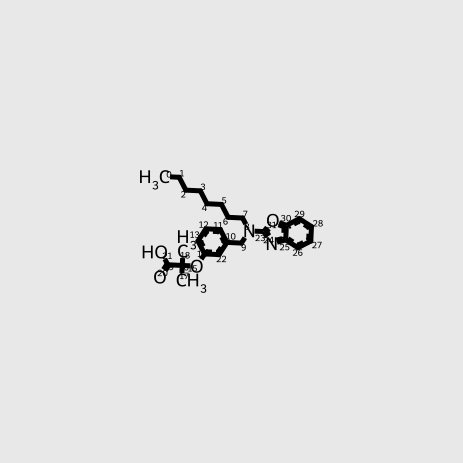 CCCCCCCCN(Cc1cccc(OC(C)(C)C(=O)O)c1)c1nc2ccccc2o1